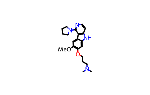 COc1cc2c(cc1OCCCN(C)C)[nH]c1ccnc(N3CCCC3)c12